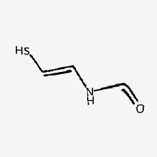 O=CNC=CS